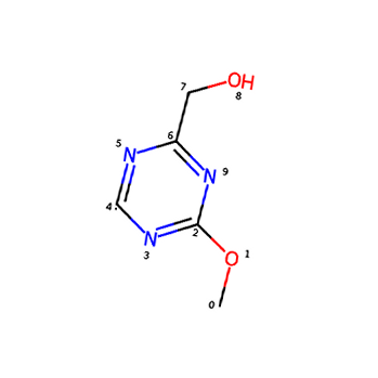 COc1n[c]nc(CO)n1